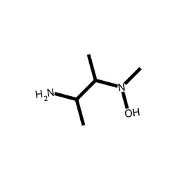 CC(N)C(C)N(C)O